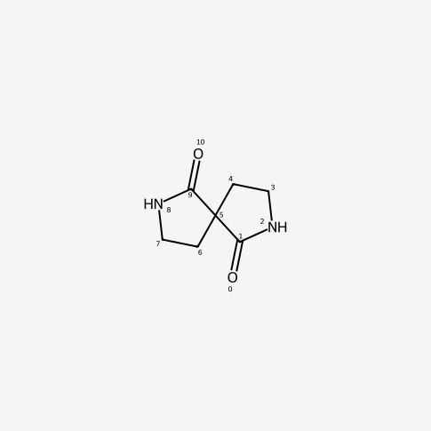 O=C1NCCC12CCNC2=O